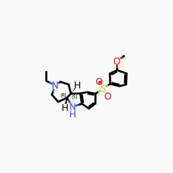 CCN1CC[C@H]2Nc3ccc(S(=O)(=O)c4cccc(OC)c4)cc3[C@@H]2CC1